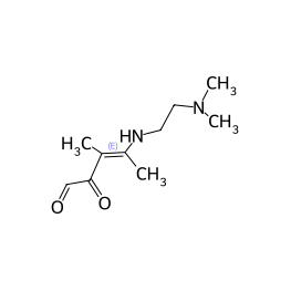 C/C(NCCN(C)C)=C(/C)C(=O)C=O